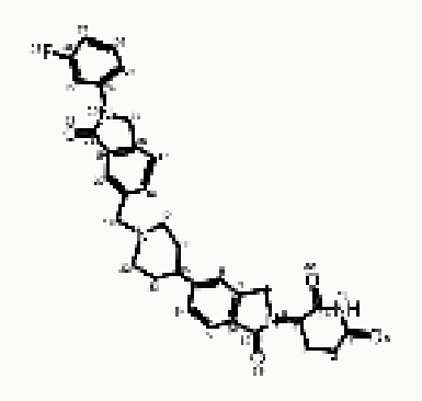 O=C1CCC(N2Cc3cc(C4CCN(Cc5ccc6c(c5)C(=O)N(c5cccc(F)c5)C6)CC4)ccc3C2=O)C(=O)N1